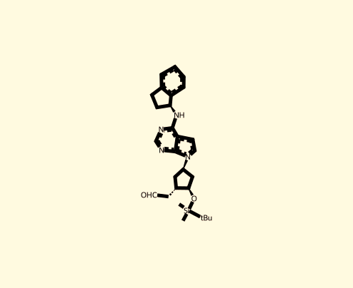 CC(C)(C)[Si](C)(C)O[C@@H]1C[C@H](n2ccc3c(N[C@H]4CCc5ccccc54)ncnc32)C[C@H]1CC=O